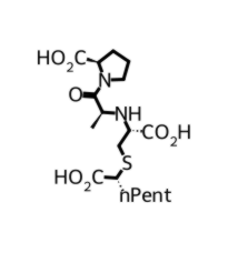 CCCCC[C@@H](SC[C@H](N[C@@H](C)C(=O)N1CCC[C@@H]1C(=O)O)C(=O)O)C(=O)O